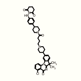 CC1(C)c2ccc(C3CCN(CCCC(=O)N4CCC(c5ccc(NN6C(=O)CCCC6=O)cc5)CC4)CC3)cc2-n2c1nc(=O)c1c(Cl)cccc12